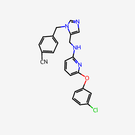 N#Cc1ccc(Cn2cncc2CNc2cccc(Oc3cccc(Cl)c3)n2)cc1